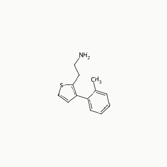 Cc1ccccc1-c1ccsc1CCN